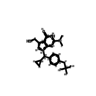 CN(C)c1nc2c(c(CO)nn2[C@@H](c2ccc(CC(F)(F)F)cc2)C2CC2)c(=O)[nH]1